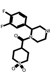 O=C(C1CCS(=O)(=O)CC1)N1CCNCC1c1ccc(F)c(F)c1